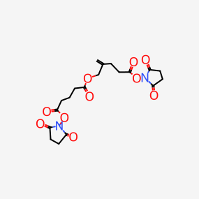 C=C(CCC(=O)ON1C(=O)CCC1=O)COC(=O)CCCC(=O)ON1C(=O)CCC1=O